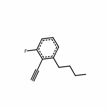 C#Cc1c(F)cccc1CCCC